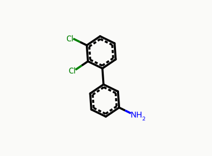 Nc1cccc(-c2cccc(Cl)c2Cl)c1